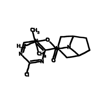 CC(C)(C)OC(=O)N1C2CCC1CN(c1ncnc(Cl)n1)C2